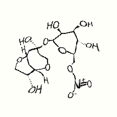 O=[N+]([O-])OC[C@H]1O[C@@H](O[C@@]2(O)CO[C@@H]3[C@H](O)CO[C@@H]32)[C@@H](O)[C@@H](O)[C@@H]1O